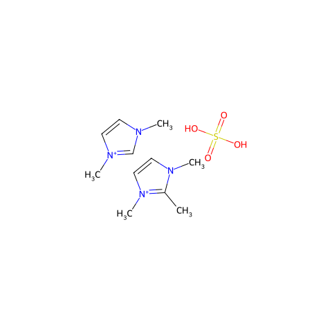 Cc1n(C)cc[n+]1C.Cn1cc[n+](C)c1.O=S(=O)(O)O